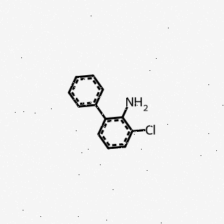 Nc1c(Cl)cccc1-c1ccccc1